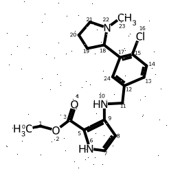 CCOC(=O)c1[nH]ccc1NCc1ccc(Cl)c(C2CCCN2C)c1